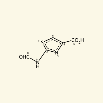 O=CNc1nc(C(=O)O)cs1